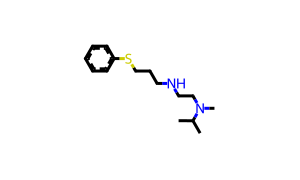 CC(C)N(C)CCNCCCSc1ccccc1